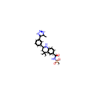 CC1N=NN=C1c1cccc(C2CC(C)(C)c3cc(C(=O)NS(C)(=O)=O)ccc3N2)c1